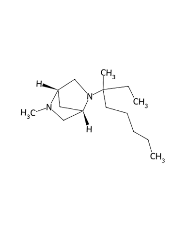 CCCCCC(C)(CC)N1C[C@@H]2C[C@H]1CN2C